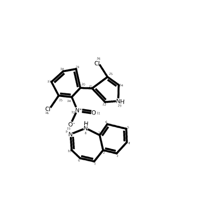 C1=Cc2ccccc2NN=C1.O=[N+]([O-])c1c(Cl)cccc1-c1c[nH]cc1Cl